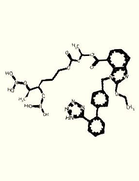 CCOc1nc2cccc(C(=O)OC(C)OC(=O)OCCC[C@@H](ON(O)O)[C@@H](C)ON(O)O)c2n1Cc1ccc(-c2ccccc2-c2nnn[nH]2)cc1